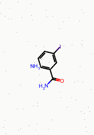 N.NC(=O)c1cccc(I)c1